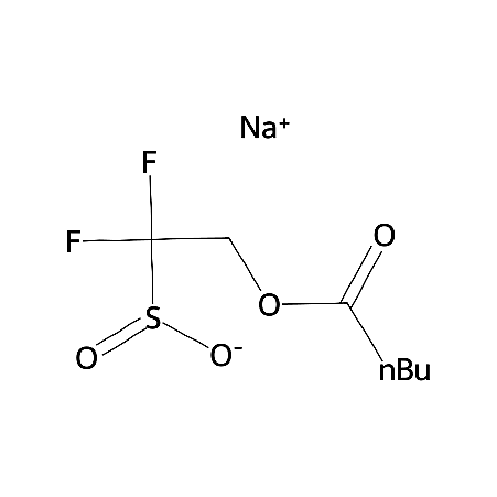 CCCCC(=O)OCC(F)(F)S(=O)[O-].[Na+]